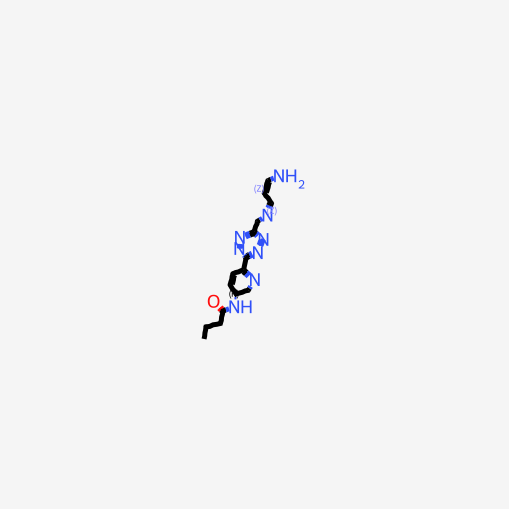 CCCC(=O)N[C@@H]1C=CC(c2nnc(C/N=C\C=C/N)nn2)=NC1